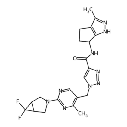 Cc1nc(N2CC3C(C2)C3(F)F)ncc1Cn1cc(C(=O)NC2CCc3c(C)n[nH]c32)nn1